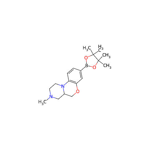 CN1CCN2c3ccc(B4OC(C)(C)C(C)(C)O4)cc3OCC2C1